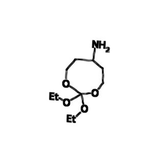 CCOC1(OCC)OCCC(N)CCO1